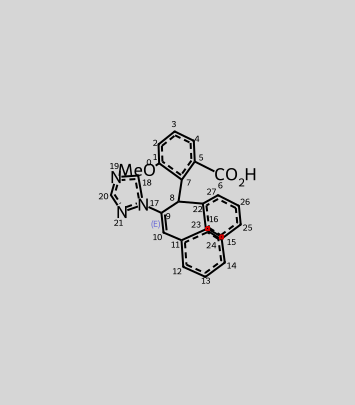 COc1cccc(C(=O)O)c1C(/C(=C\c1ccccc1)n1cncn1)c1ccccc1